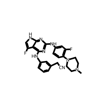 CN1CCN(c2ccc(Nc3nc(Nc4cccc(CC#N)c4)c4c(F)c[nH]c4n3)cc2F)CC1